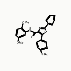 COc1ccc(OC)c(NC(=O)c2nc(-c3ccccc3)oc2-c2ccc(NC(C)=O)cc2)c1